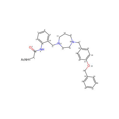 CC(=O)NCC(=O)Nc1ccccc1CN1CCCN(Cc2ccc(OCc3ccccc3)cc2)CC1